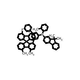 Cc1ccccc1N(c1cc(-c2ccccc2)cc(-c2ccc(C)c3c2C2(c4cccc(C)c4-3)c3cccc(F)c3-c3c(F)cccc32)c1)c1ccc2c(c1)C(C)(C)c1ccccc1-2